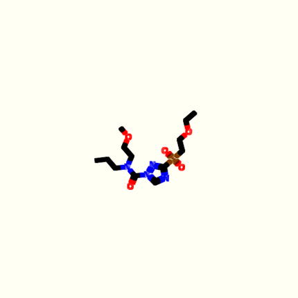 CCCN(CCOC)C(=O)n1cnc(S(=O)(=O)CCOCC)n1